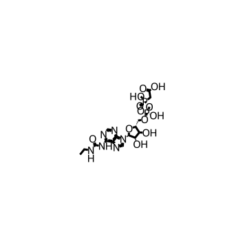 CCNC(=O)Nc1ncnc2c1ncn2[C@@H]1O[C@H](COP(=O)(O)OP(=O)(O)CC(=O)O)C(O)[C@@H]1O